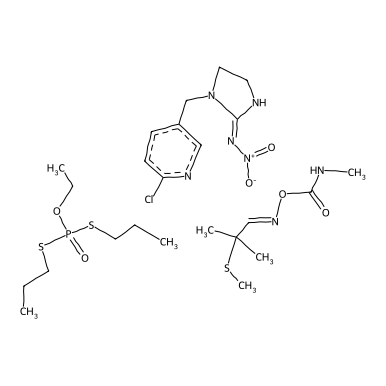 CCCSP(=O)(OCC)SCCC.CNC(=O)O/N=C/C(C)(C)SC.O=[N+]([O-])/N=C1\NCCN1Cc1ccc(Cl)nc1